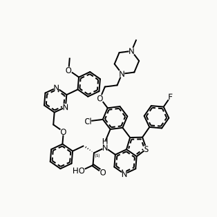 COc1ccccc1-c1nccc(COc2ccccc2C[C@H](Nc2cncc3sc(-c4ccc(F)cc4)c(-c4ccc(OCCN5CCN(C)CC5)c(Cl)c4C)c23)C(=O)O)n1